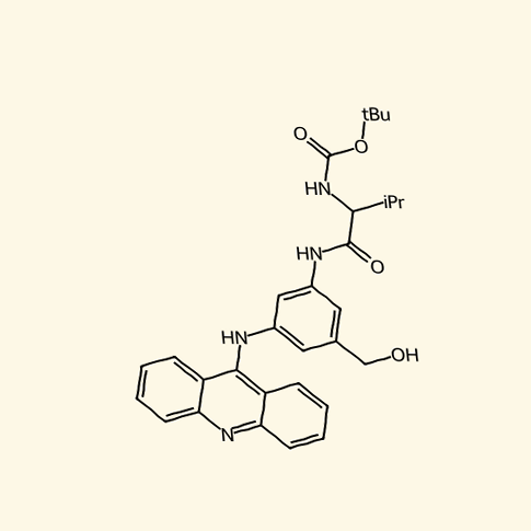 CC(C)C(NC(=O)OC(C)(C)C)C(=O)Nc1cc(CO)cc(Nc2c3ccccc3nc3ccccc23)c1